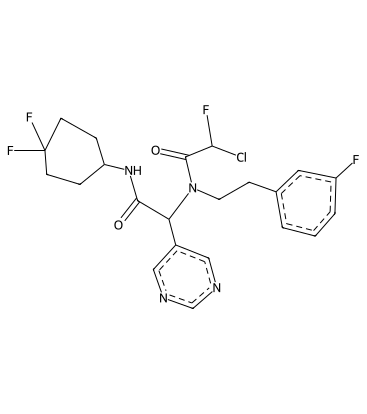 O=C(NC1CCC(F)(F)CC1)C(c1cncnc1)N(CCc1cccc(F)c1)C(=O)C(F)Cl